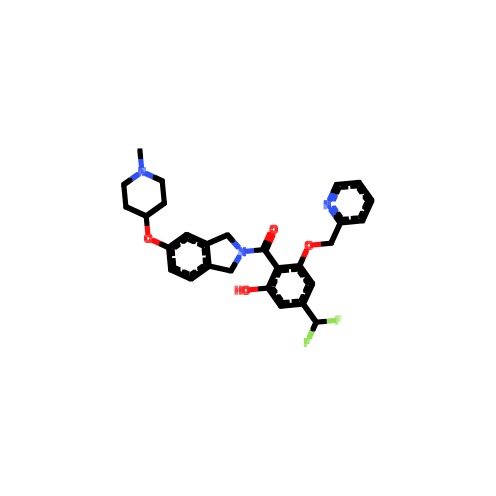 CN1CCC(Oc2ccc3c(c2)CN(C(=O)c2c(O)cc(C(F)F)cc2OCc2ccccn2)C3)CC1